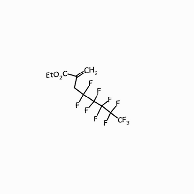 C=C(CC(F)(F)C(F)(F)C(F)(F)C(F)(F)C(F)(F)F)C(=O)OCC